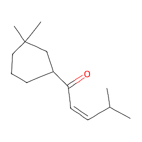 CC(C)/C=C\C(=O)C1CCCC(C)(C)C1